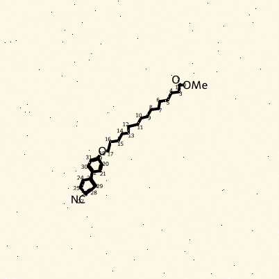 COC(=O)CCCCCCCCCCCCCCCOc1ccc(-c2ccc(C#N)cc2)cc1